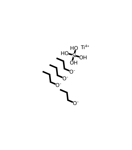 CCC[O-].CCC[O-].CCC[O-].CCC[O-].O[Si](O)(O)O.[Ti+4]